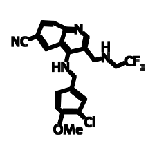 COc1ccc(CNc2c(CNCC(F)(F)F)cnc3ccc(C#N)cc23)cc1Cl